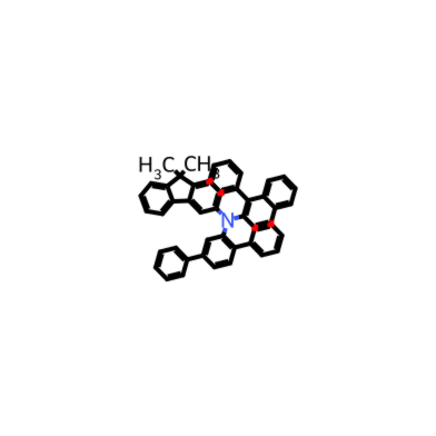 CC1(C)c2ccccc2-c2cc(N(c3cc(-c4ccccc4)ccc3-c3ccccc3)c3ccc4ccccc4c3-c3ccccc3)ccc21